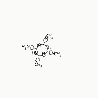 CN1C=CC(c2c3nc(c(C4=CCN(C)C=C4)c4ccc([nH]4)c(C4=CCN(C)C=C4)c4nc(c(C5=CCN(C)C=C5)c5ccc2[nH]5)C=C4)C=C3)=CC1